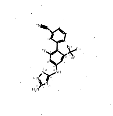 N#Cc1cccc(-c2c(F)cc(Nc3nc(N)n[nH]3)cc2C(F)(F)F)c1